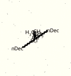 CCCCCCCCCCCCCCCCCCOCC(COCCCCCCCCCCCCCCCCCC)OC(=O)C[N+](C)(C)C.[Cl-]